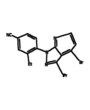 CCc1cc(C#N)ccc1-n1nc(C(C)C)c2c(Br)ccnc21